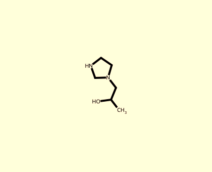 CC(O)CN1CCNC1